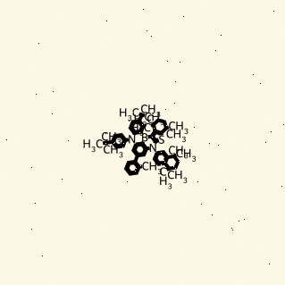 Cc1ccccc1-c1cc2c3c(c1)N(c1ccc4c(c1)C(C)(C)CCC4(C)C)c1sc4c(c1B3c1cc(C(C)(C)C)ccc1N2c1ccc(C(C)(C)C)cc1)C(C)(C)CCC4(C)C